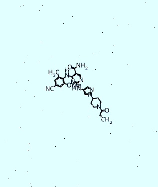 C=CC(=O)N1CCC(n2cc(Nc3ncc(C(N)=O)c(Nc4c(C)cc(C#N)cc4OC)n3)cn2)CC1